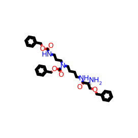 N[C@@H](COCc1ccccc1)C(=O)NCCCCN(CCCNC(=O)OCc1ccccc1)C(=O)OCc1ccccc1